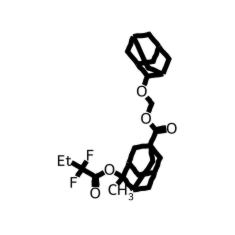 CCC(F)(F)C(=O)OC1(C)C2CC3CC1CC(C(=O)OCOC1C4CC5CC(C4)CC1C5)(C3)C2